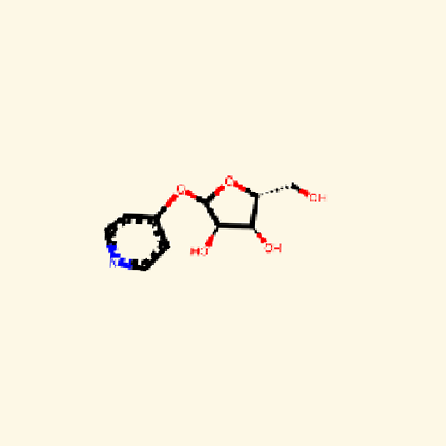 OC[C@H]1OC(Oc2ccncc2)[C@H](O)[C@@H]1O